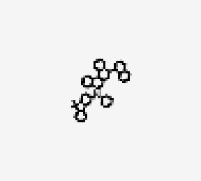 CC1(C)c2ccccc2-c2cc(N(c3ccccc3)c3cc4cc(-c5cccc6ccccc56)c5ccccc5c4c4ccccc34)ccc21